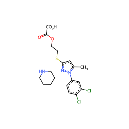 C1CCNCC1.Cc1cc(SCCOC(=O)C(=O)O)nn1-c1ccc(Cl)c(Cl)c1